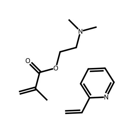 C=C(C)C(=O)OCCN(C)C.C=Cc1ccccn1